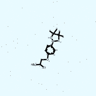 CCCCC(CC)COc1ccc(B2OC(C)(C)C(C)(C)S2)cc1